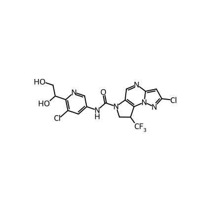 O=C(Nc1cnc(C(O)CO)c(Cl)c1)N1CC(C(F)(F)F)c2c1cnc1cc(Cl)nn21